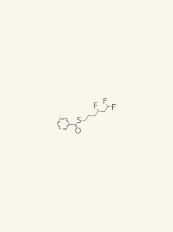 O=C(SCCCC(F)CC(F)F)c1ccccc1